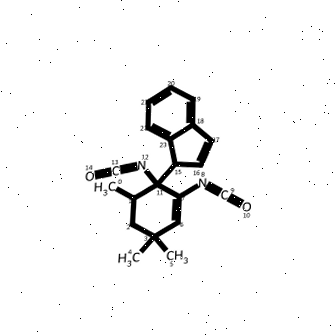 C[C]1CC(C)(C)C=C(N=C=O)C1(N=C=O)C1C=Cc2ccccc21